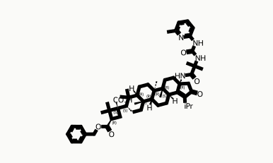 Cc1cccc(NC(=O)NC(C)(C)C(=O)N[C@@]23CC[C@]4(C)[C@H](CC[C@@H]5[C@]6(C)CC[C@H]([C@@]7(C(=O)O)C[C@@H](C(=O)OCc8ccccc8)C7(C)C)C(C)(C)[C@H]6CC[C@]54C)C2=C(C(C)C)C(=O)C3)n1